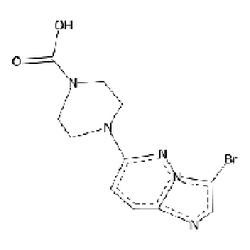 O=C(O)N1CCN(c2ccc3ncc(Br)n3n2)CC1